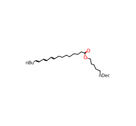 CCCCC=CC=CC=CCCCCCCCC(=O)OCCCCCCCCCCCCCCC